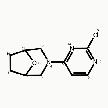 Clc1nccc(N2CC3CCC(C2)O3)n1